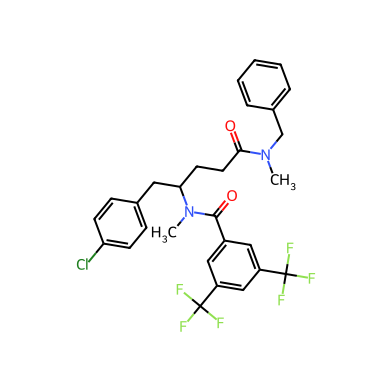 CN(Cc1ccccc1)C(=O)CCC(Cc1ccc(Cl)cc1)N(C)C(=O)c1cc(C(F)(F)F)cc(C(F)(F)F)c1